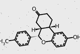 Cc1ccc([C@H]2Oc3ccc(O)cc3[C@H]3CCC(=O)C[C@H]32)cc1